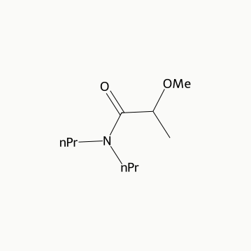 CCCN(CCC)C(=O)C(C)OC